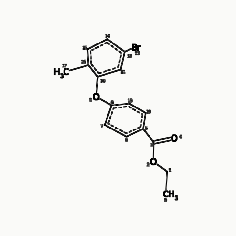 CCOC(=O)c1ccc(Oc2cc(Br)ccc2C)cc1